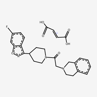 O=C(CN1CCc2ccccc2C1)N1CCC(c2noc3cc(F)ccc23)CC1.O=C(O)/C=C/C(=O)O